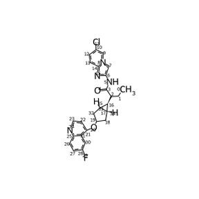 CCC(C(=O)Nc1cn2cc(Cl)ccc2n1)[C@H]1[C@@H]2CC(Oc3ccnc4ccc(F)cc34)C[C@@H]21